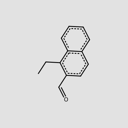 CCc1c(C=O)ccc2ccccc12